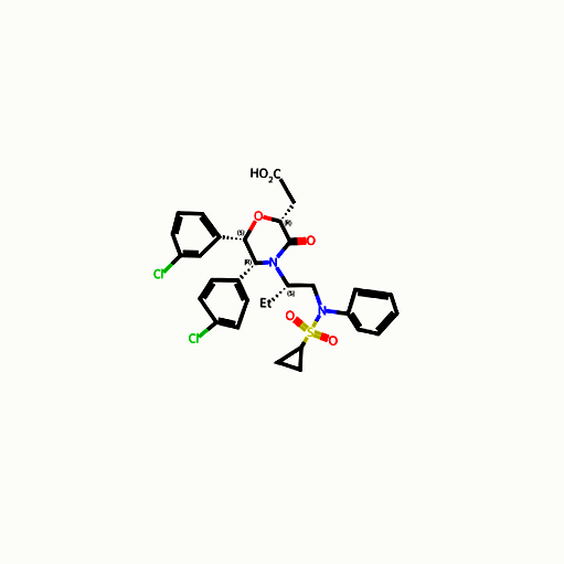 CC[C@@H](CN(c1ccccc1)S(=O)(=O)C1CC1)N1C(=O)[C@@H](CC(=O)O)O[C@@H](c2cccc(Cl)c2)[C@H]1c1ccc(Cl)cc1